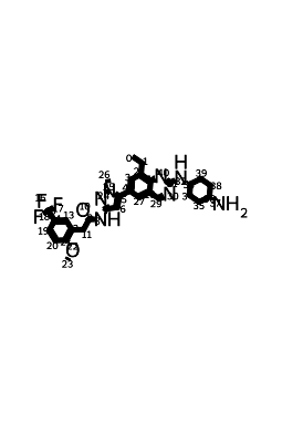 CCc1cc(-c2cc(NC(=O)Cc3cc(C(F)(F)F)ccc3OC)nn2C)cc2cnc(N[C@H]3CC[C@H](N)CC3)nc12